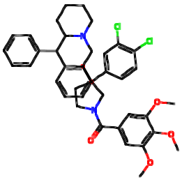 COc1cc(C(=O)N2CCC(CCN3CCCCC3C(c3ccccc3)c3ccccc3)(c3ccc(Cl)c(Cl)c3)C2)cc(OC)c1OC